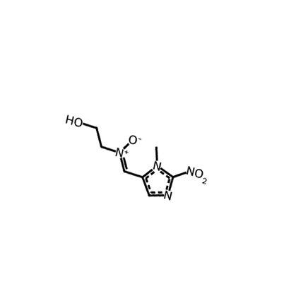 Cn1c(C=[N+]([O-])CCO)cnc1[N+](=O)[O-]